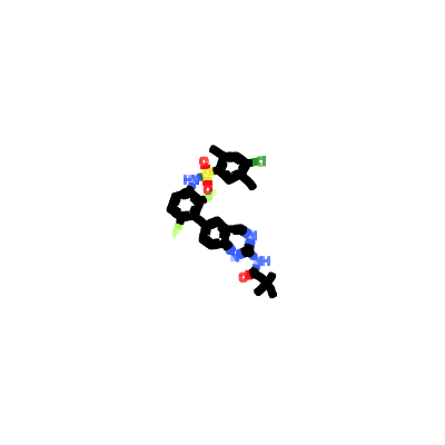 Cc1cc(S(=O)(=O)Nc2ccc(F)c(-c3ccc4nc(NC(=O)C(C)(C)C)ncc4c3)c2F)c(C)cc1Cl